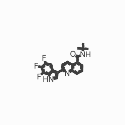 CC(C)(C)NC(=O)c1cccc2nc(-c3c[nH]c4c(F)c(F)c(F)cc34)ccc12